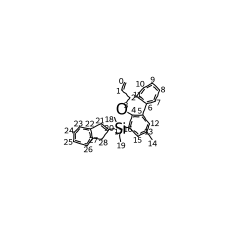 C=CCOc1c(-c2ccccc2)cc(C)cc1[Si](C)(C)C1=Cc2ccccc2C1